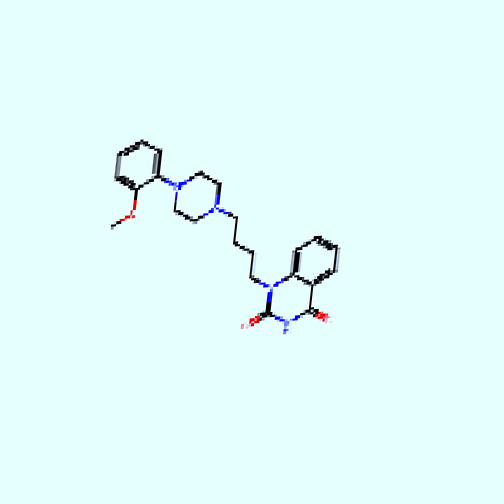 COc1ccccc1N1CCN(CCCCn2c(=O)[nH]c(=O)c3ccccc32)CC1